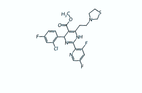 COC(=O)C1=C(CCN2CCSC2)NC(c2ncc(F)cc2F)=NC1c1ccc(F)cc1Cl